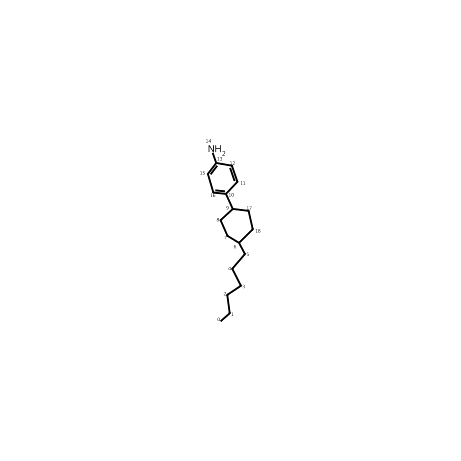 CCCCCCC1CCC(c2ccc(N)cc2)CC1